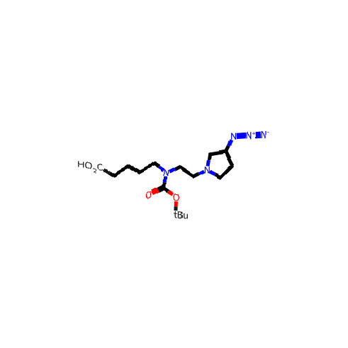 CC(C)(C)OC(=O)N(CCCCC(=O)O)CCN1CCC(N=[N+]=[N-])C1